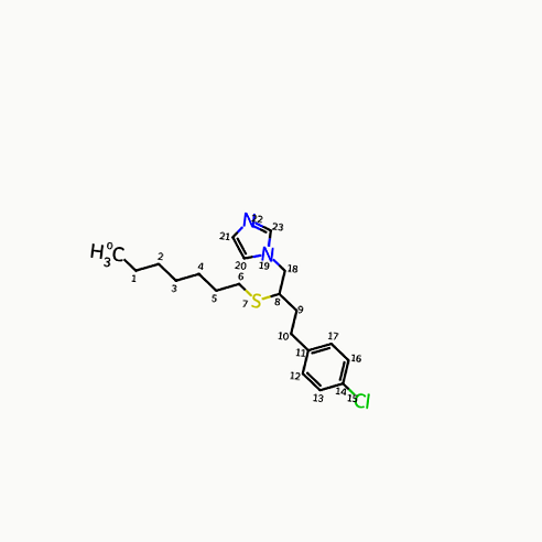 CCCCCCCSC(CCc1ccc(Cl)cc1)Cn1ccnc1